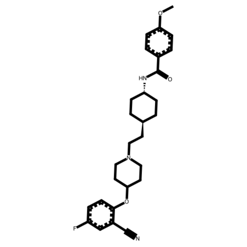 COc1ccc(C(=O)N[C@H]2CC[C@H](CCN3CCC(Oc4ccc(F)cc4C#N)CC3)CC2)cc1